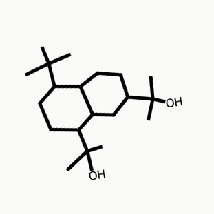 CC(C)(C)C1CCC(C(C)(C)O)C2CC(C(C)(C)O)CCC21